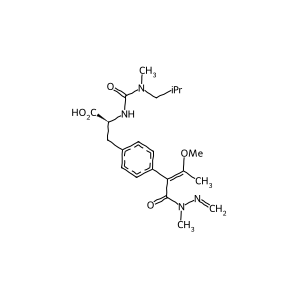 C=NN(C)C(=O)/C(=C(\C)OC)c1ccc(C[C@H](NC(=O)N(C)CC(C)C)C(=O)O)cc1